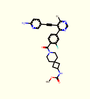 CCc1ncnc(-c2ccc(C(=O)N3CCC4(CC3)CC(NC(=O)OC(C)(C)C)C4)c(F)c2)c1C#Cc1ccc(N)nc1